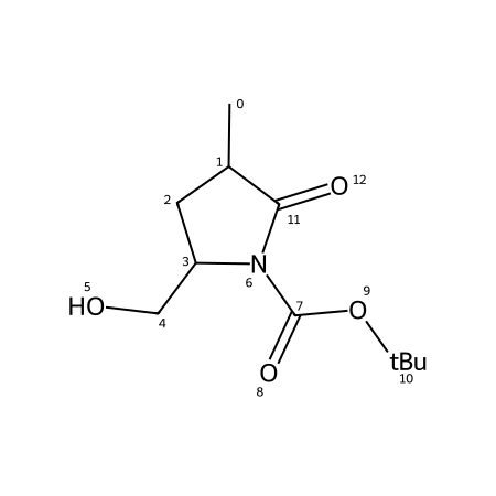 CC1CC(CO)N(C(=O)OC(C)(C)C)C1=O